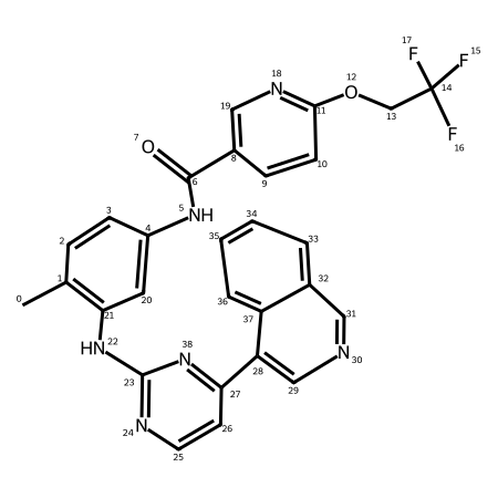 Cc1ccc(NC(=O)c2ccc(OCC(F)(F)F)nc2)cc1Nc1nccc(-c2cncc3ccccc23)n1